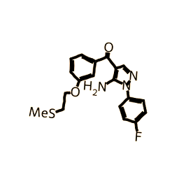 CSCCOc1cccc(C(=O)c2cnn(-c3ccc(F)cc3)c2N)c1